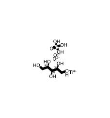 O=P(O)(O)O.OC[C@@H](O)[C@H](O)[C@@H](O)CO.[O-2].[O-2].[Ti+4]